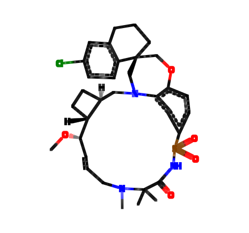 CO[C@H]1C=CCN(C)C(C)(C)C(=O)NS(=O)(=O)c2ccc3c(c2)N(C[C@@H]2CC[C@H]21)C[C@@]1(CCCc2cc(Cl)ccc21)CO3